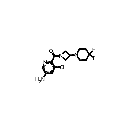 Nc1cnc(C(=O)N2CC(N3CCC(F)(F)CC3)C2)c(Cl)c1